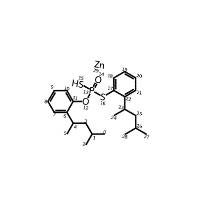 CC(C)CC(C)c1ccccc1OP(=O)(S)Sc1ccccc1C(C)CC(C)C.[Zn]